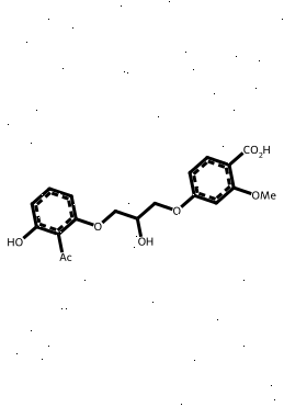 COc1cc(OCC(O)COc2cccc(O)c2C(C)=O)ccc1C(=O)O